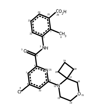 Cc1c(NC(=O)c2cc(Cl)cc(N3CCOCC34CCC4)n2)cccc1C(=O)O